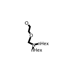 CCCCCCN(CCCCCC)COCC[O]